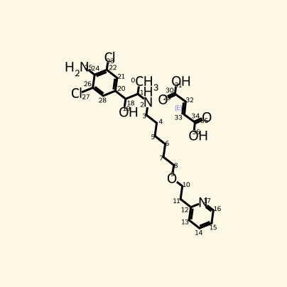 CC(NCCCCCCOCCc1ccccn1)C(O)c1cc(Cl)c(N)c(Cl)c1.O=C(O)/C=C/C(=O)O